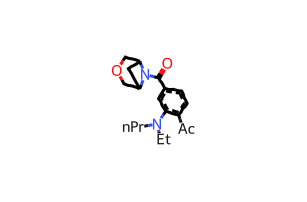 CCCN(CC)c1cc(C(=O)N2C3COCC2C3)ccc1C(C)=O